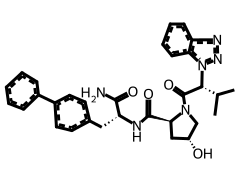 CC(C)[C@H](C(=O)N1C[C@H](O)C[C@H]1C(=O)N[C@H](Cc1ccc(-c2ccccc2)cc1)C(N)=O)n1nnc2ccccc21